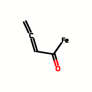 C=C=C[C](=O)[Fe]